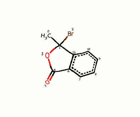 CC1(Br)OC(=O)c2ccccc21